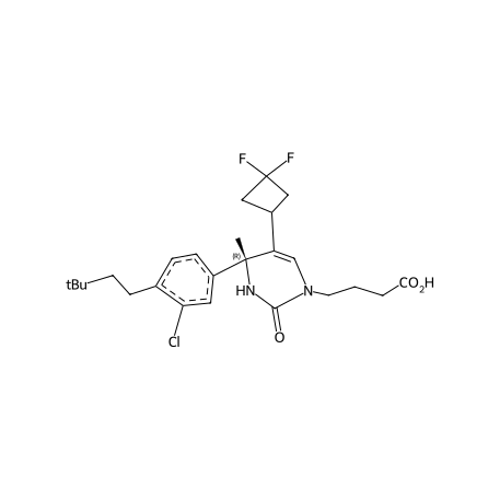 CC(C)(C)CCc1ccc([C@@]2(C)NC(=O)N(CCCC(=O)O)C=C2C2CC(F)(F)C2)cc1Cl